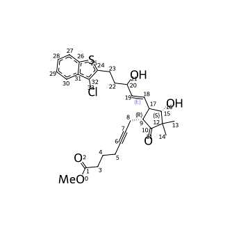 COC(=O)CCCC#CC[C@H]1C(=O)C(C)(C)[C@@H](O)C1/C=C/C(O)CCc1sc2ccccc2c1Cl